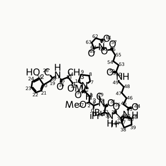 CCC(C)C(C(CC(=O)N1CCC[C@H]1C(OC)C(C)C(=O)NC(Cc1ccccc1)C(=O)O)OC)N(C)C(=O)C(NC(=O)[C@@H]1[C@H]2CC[C@H](C2)N1C(=O)CCCCCNC(=O)CCCC(=O)ON1C(=O)CCC1=O)C(C)C